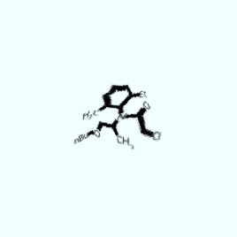 CCCCOCC(C)N(C(=O)CCl)c1c(C)cccc1CC